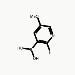 COc1cnc(F)c(B(O)O)c1